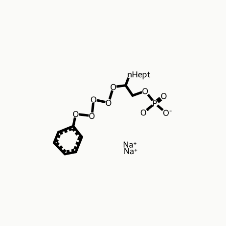 CCCCCCCC(COP(=O)([O-])[O-])OOOOOc1ccccc1.[Na+].[Na+]